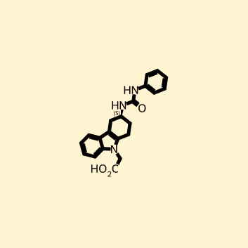 O=C(O)Cn1c2c(c3ccccc31)C[C@@H](NC(=O)Nc1ccccc1)CC2